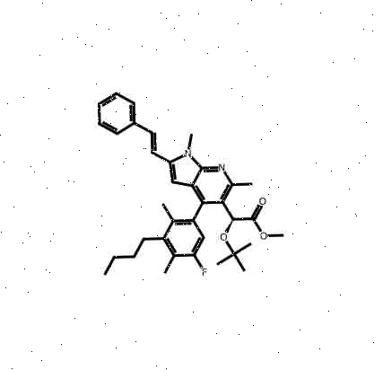 CCCCc1c(C)c(F)cc(-c2c([C@H](OC(C)(C)C)C(=O)OC)c(C)nc3c2cc(/C=C/c2ccccc2)n3C)c1C